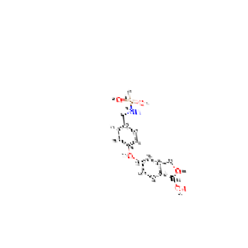 CS(=O)(=O)NCc1ccc(Oc2ccc3c(c2)COB3O)cc1